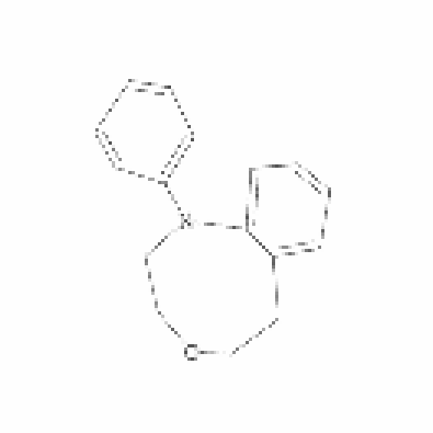 c1ccc(N2CCOCCc3ccccc32)cc1